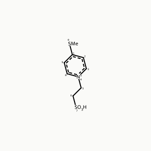 CSc1cc[n+](CCS(=O)(=O)O)cc1